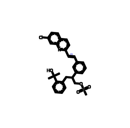 CC(C)(O)c1ccccc1CC(COS(C)(=O)=O)c1cccc(/C=C/c2ccc3ccc(Cl)cc3n2)c1